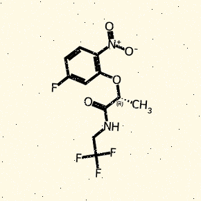 C[C@@H](Oc1cc(F)ccc1[N+](=O)[O-])C(=O)NCC(F)(F)F